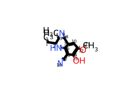 CCC(CC)Nc1c(C#N)cc(OC)c(O)c1C#N